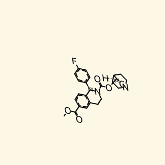 COC(=O)c1ccc2c(c1)CCN(C(=O)O[C@@H]1CN3CCC1CC3)[C@@H]2c1ccc(F)cc1